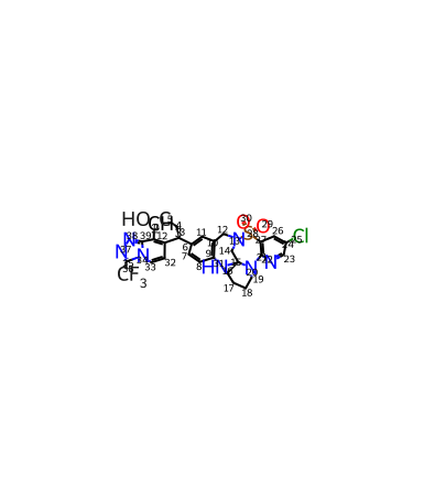 Cc1c([C@@H](CC(=O)O)c2ccc3c(c2)CN2C[C@@]4(CCCCN4c4ncc(Cl)cc4S2(=O)=O)N3)ccn2c(C(F)(F)F)nnc12